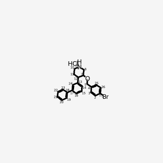 Brc1ccc(COC2CNCCC2c2cccc(-c3ccccc3)c2)cc1.Cl